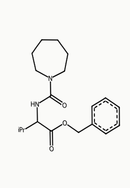 CC(C)C(NC(=O)N1CCCCCC1)C(=O)OCc1ccccc1